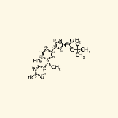 COc1cnc(Cl)nc1Nc1ccc(-c2cnn(C(=O)OC(C)(C)C)c2)cc1